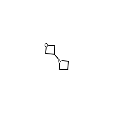 C1CN(C2COC2)C1